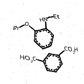 CCNc1ccccc1OC(C)C.O=C(O)c1cccc(C(=O)O)c1